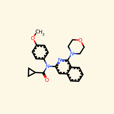 COc1ccc(N(C(=O)C2CC2)c2cc3ccccc3c(N3CCOCC3)n2)cc1